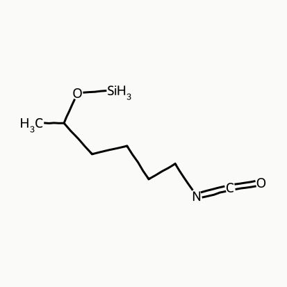 CC(CCCCN=C=O)O[SiH3]